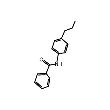 C[CH]Cc1ccc(NC(=O)c2ccccc2)cc1